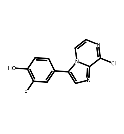 Oc1ccc(-c2cnc3c(Cl)nccn23)cc1F